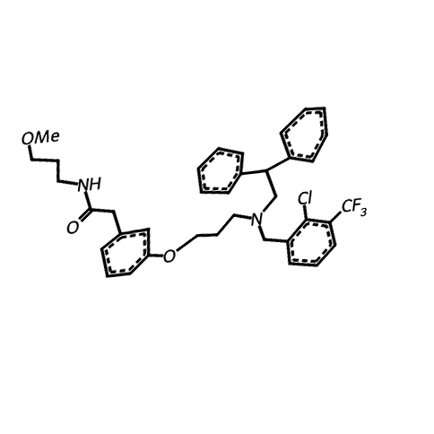 COCCCNC(=O)Cc1cccc(OCCCN(Cc2cccc(C(F)(F)F)c2Cl)CC(c2ccccc2)c2ccccc2)c1